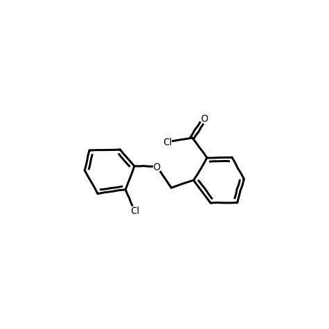 O=C(Cl)c1ccccc1COc1ccccc1Cl